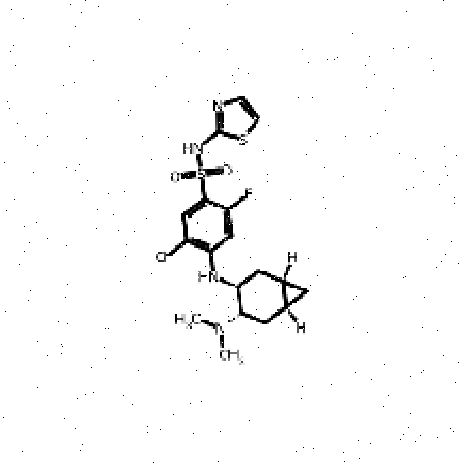 CN(C)[C@H]1C[C@H]2C[C@H]2C[C@@H]1Nc1cc(F)c(S(=O)(=O)Nc2nccs2)cc1Cl